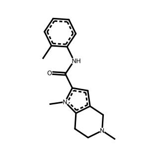 Cc1ccccc1NC(=O)c1cc2c(n1C)CCN(C)C2